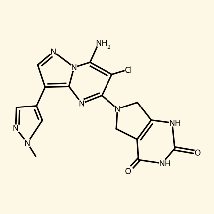 Cn1cc(-c2cnn3c(N)c(Cl)c(N4Cc5[nH]c(=O)[nH]c(=O)c5C4)nc23)cn1